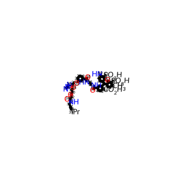 Cc1ccc2c(-c3cc(C(=O)NCCNC(=O)c4cccc(OCC(N=[N+]=[N-])OCCOCC(=O)NCC#CC(C)C)c4)ccc3C(=O)O)c3ccc(=N)c(S(=O)(=O)O)c-3oc2c1S(=O)(=O)O